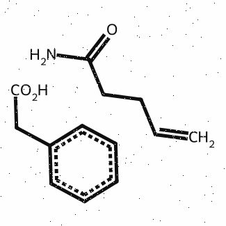 C=CCCC(N)=O.O=C(O)Cc1ccccc1